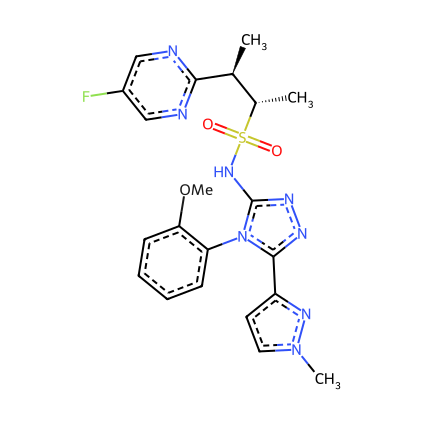 COc1ccccc1-n1c(NS(=O)(=O)[C@@H](C)[C@H](C)c2ncc(F)cn2)nnc1-c1ccn(C)n1